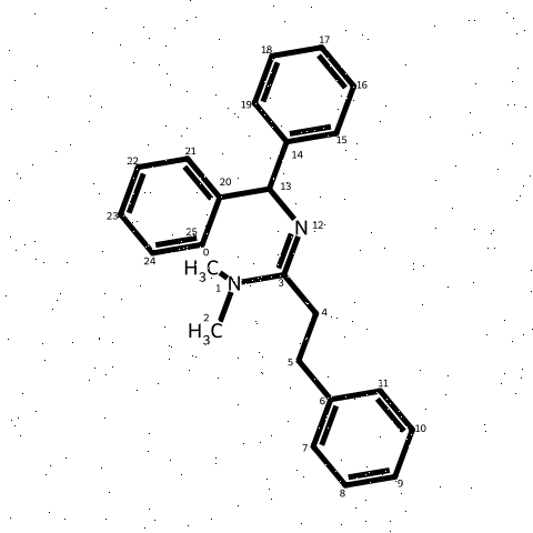 CN(C)/C(CCc1ccccc1)=N\C(c1ccccc1)c1ccccc1